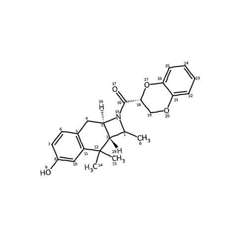 CC1[C@H]2[C@@H](Cc3ccc(O)cc3C2(C)C)N1C(=O)[C@H]1COc2ccccc2O1